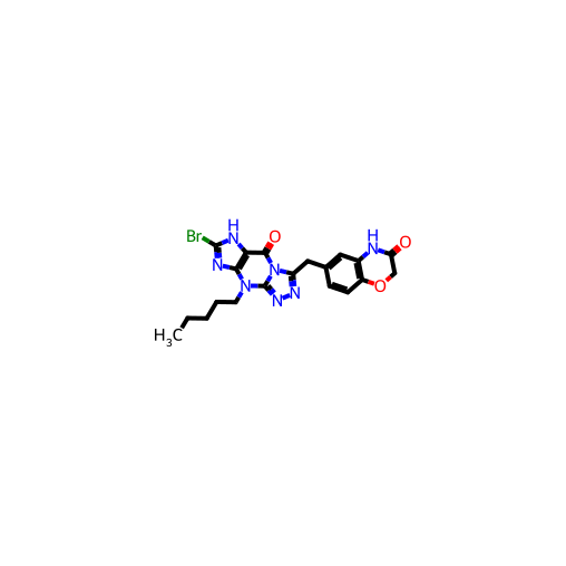 CCCCCn1c2nc(Br)[nH]c2c(=O)n2c(Cc3ccc4c(c3)NC(=O)CO4)nnc12